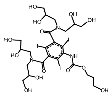 O=C(Nc1c(I)c(C(=O)N(CC(O)CO)CC(O)CO)c(I)c(C(=O)N(CC(O)CO)CC(O)CO)c1I)OCCCO